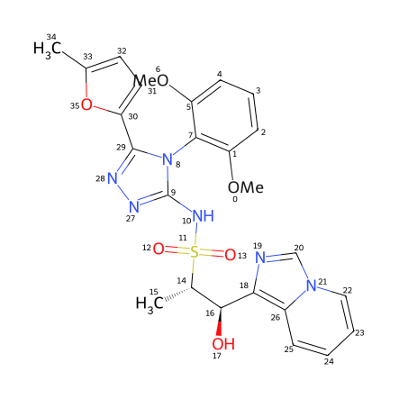 COc1cccc(OC)c1-n1c(NS(=O)(=O)[C@@H](C)[C@H](O)c2ncn3ccccc23)nnc1-c1ccc(C)o1